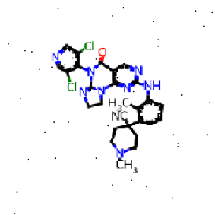 Cc1c(Nc2ncc3c(n2)N2CCN=C2N(c2c(Cl)cncc2Cl)C3=O)cccc1C1(C#N)CCN(C)CC1